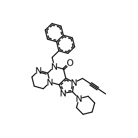 CC#CCn1c(N2CCCCC2)nc2c1C(=O)N(Cc1cccc3ccccc13)C1=NCCCN12